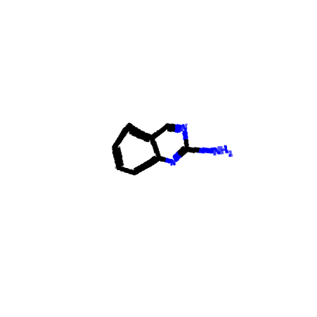 Nc1ncc2cc[c]cc2n1